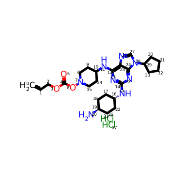 C=CCOC(=O)ON1CCC(Nc2nc(N[C@H]3CC[C@H](N)CC3)nc3c2ncn3C2CCCC2)CC1.Cl.Cl